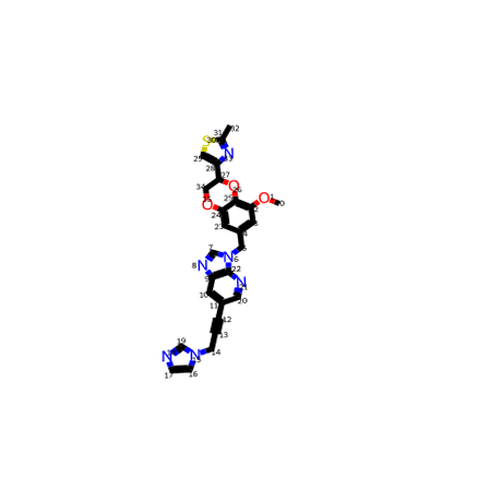 COc1cc(Cn2cnc3cc(C#CCn4ccnc4)cnc32)cc2c1OC(c1csc(C)n1)CO2